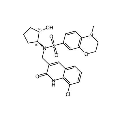 CN1CCOc2cc(S(=O)(=O)N(Cc3cc4cccc(Cl)c4[nH]c3=O)[C@H]3CCC[C@@H]3O)ccc21